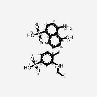 CCNc1cc(S(=O)(=O)O)ccc1C.Nc1ccc(S(=O)(=O)O)c2cccc(O)c12